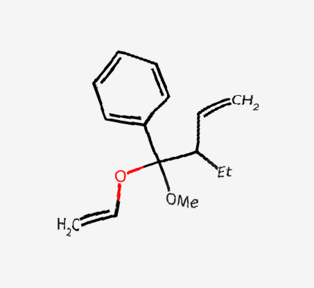 C=COC(OC)(c1ccccc1)C(C=C)CC